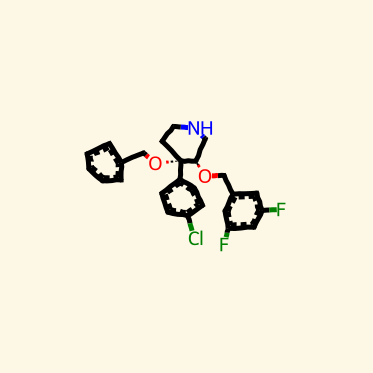 Fc1cc(F)cc(CO[C@H]2CNCC[C@]2(OCc2ccccc2)c2ccc(Cl)cc2)c1